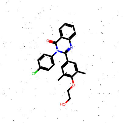 Cc1cc(-c2nc3ccccc3c(=O)n2-c2ccc(Cl)cc2)cc(C)c1OCCO